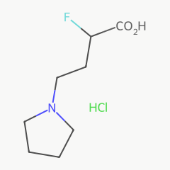 Cl.O=C(O)C(F)CCN1CCCC1